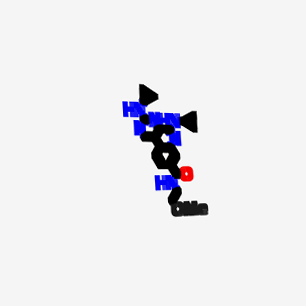 COCCNC(=O)c1ccc2c(c1)nc(NC1CC1)c1nc(NC3CC3)ncc12